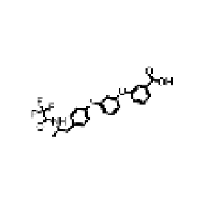 CC(Cc1ccc(Sc2cccc(Oc3cccc(C(=O)O)c3)c2)cc1)NC(=O)C(F)(F)F